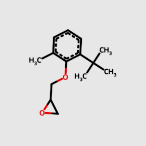 Cc1cccc(C(C)(C)C)c1OCC1CO1